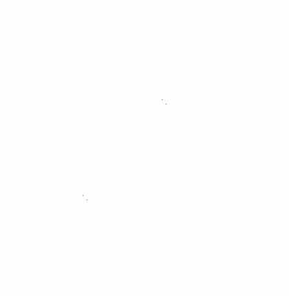 CCc1nc2cc3c(cc2s1)CCNCC3